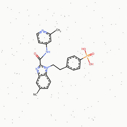 Cc1cc(NC(=O)c2nc3cc(C#N)ccc3n2CCc2ccc(P(=O)(O)O)cc2)ccn1